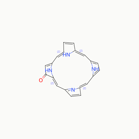 O=C1C=C2/C=c3/cc/c([nH]3)=C/c3ccc([nH]3)/C=C3/C=CC(=N3)/C=C/1N2